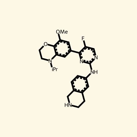 COc1cc(-c2nc(Nc3ccc4c(c3)CCNC4)ncc2F)cc2c1OCCN2C(C)C